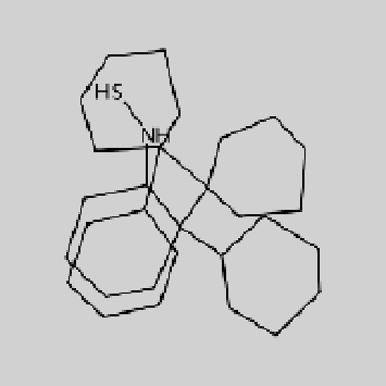 SNC1CCCCC1(C1CCCCC1)C1(C2(C3CCCCC3)CCCCC2)CCCCC1